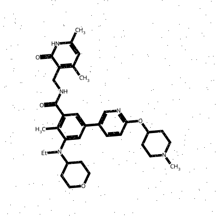 CCN(c1cc(-c2ccc(OC3CCN(C)CC3)nc2)cc(C(=O)NCc2c(C)cc(C)[nH]c2=O)c1C)C1CCOCC1